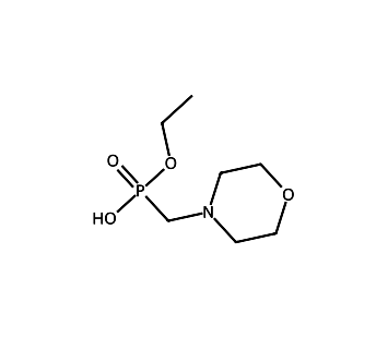 CCOP(=O)(O)CN1CCOCC1